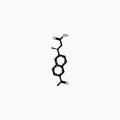 CC(=O)c1ccc2cc([C@@H](I)CC(=O)O)ccc2c1